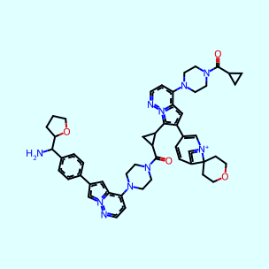 NC(c1ccc(-c2cc3c(N4CCN(C(=O)C5CC5c5c(C6=C[N+]7=C=C(C=C6)C76CCOCC6)cc6c(N7CCN(C(=O)C8CC8)CC7)ccnn56)CC4)ccnn3c2)cc1)C1CCCO1